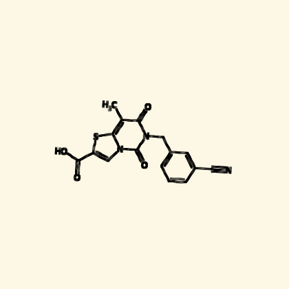 Cc1c(=O)n(Cc2cccc(C#N)c2)c(=O)n2cc(C(=O)O)sc12